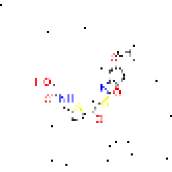 COc1ccc2oc(SCC(=O)c3ccc(CNC(=O)CO)s3)nc2c1